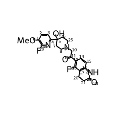 COc1ccc(C2(O)CCN(CC(=O)c3ccc4c(c3F)CCC(=O)N4)CC2)nc1F